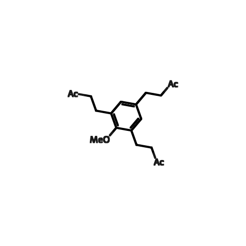 COc1c(CCC(C)=O)cc(CCC(C)=O)cc1CCC(C)=O